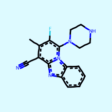 Cc1c(F)c(N2CCNCC2)n2c(nc3ccccc32)c1C#N